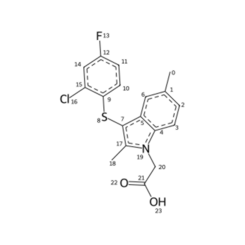 Cc1ccc2c(c1)c(Sc1ccc(F)cc1Cl)c(C)n2CC(=O)O